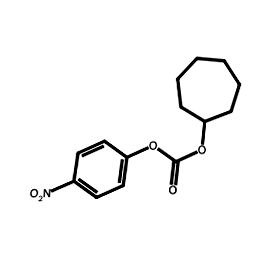 O=C(Oc1ccc([N+](=O)[O-])cc1)OC1CCCCCC1